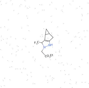 CCOC(=O)CN1NC2=C(C3CC3C2)C1C(F)(F)F